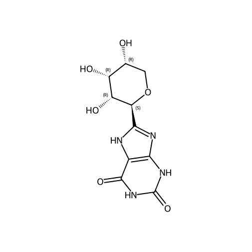 O=c1[nH]c(=O)c2[nH]c([C@@H]3OC[C@@H](O)[C@@H](O)[C@H]3O)nc2[nH]1